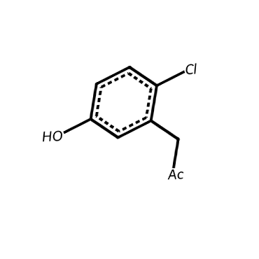 CC(=O)Cc1cc(O)ccc1Cl